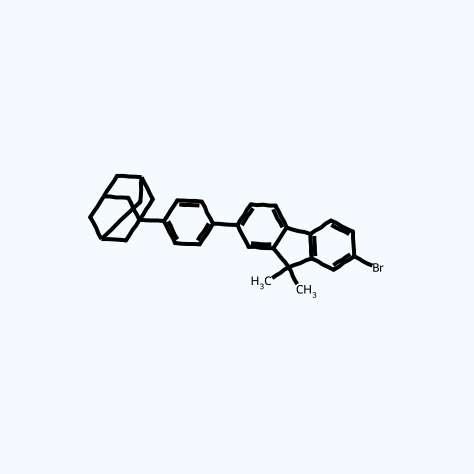 CC1(C)c2cc(Br)ccc2-c2ccc(-c3ccc(C45CC6CC(CC(C6)C4)C5)cc3)cc21